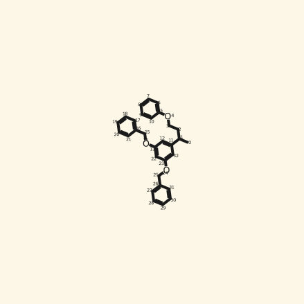 CC(CCOc1ccccc1)c1cc(OCc2ccccc2)cc(OCc2ccccc2)c1